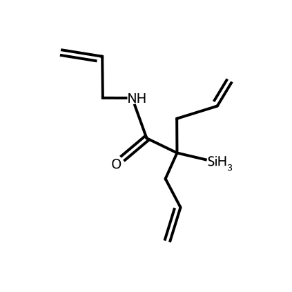 C=CCNC(=O)C([SiH3])(CC=C)CC=C